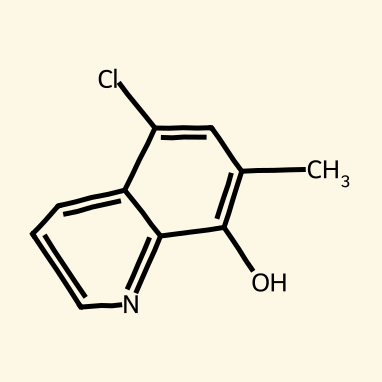 Cc1cc(Cl)c2cccnc2c1O